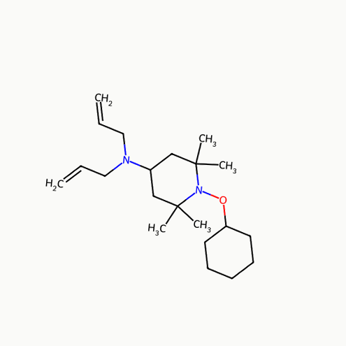 C=CCN(CC=C)C1CC(C)(C)N(OC2CCCCC2)C(C)(C)C1